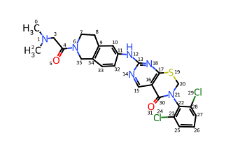 CN(C)CC(=O)N1CCc2cc(Nc3ncc4c(n3)SCN(c3c(Cl)cccc3Cl)C4=O)ccc2C1